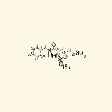 Cc1ccc(CNC(=O)[C@H](CCCCN)NC(=O)OC(C)(C)C)cc1